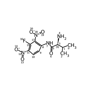 CC(C)[C@H](N)C(=O)Nc1ccc([N+](=O)[O-])c(F)c1[N+](=O)[O-]